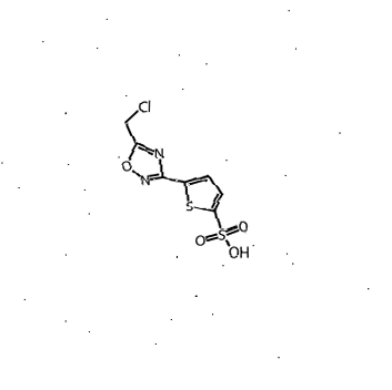 O=S(=O)(O)c1ccc(-c2noc(CCl)n2)s1